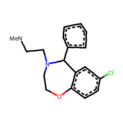 CNCCN1CCOc2ccc(Cl)cc2C1c1ccccc1